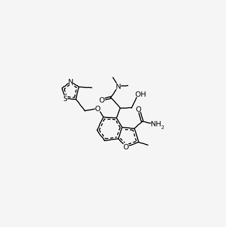 Cc1ncsc1COc1ccc2oc(C)c(C(N)=O)c2c1C(CO)C(=O)N(C)C